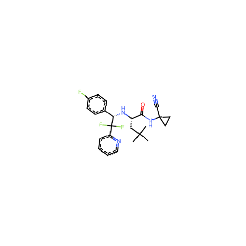 CC(C)(C)C[C@H](N[C@@H](c1ccc(F)cc1)C(F)(F)c1ccccn1)C(=O)NC1(C#N)CC1